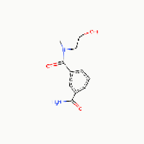 CN(CCO)C(=O)c1cccc(C(N)=O)c1